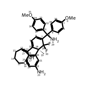 COc1ccc(C(N)(C2=CC=C(C3=CCCCON3)[C@](C)(c3cc(N)ccc3F)C2(F)F)c2ccc(OC)cc2)cc1